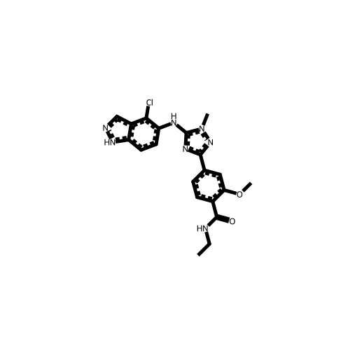 CCNC(=O)c1ccc(-c2nc(Nc3ccc4[nH]ncc4c3Cl)n(C)n2)cc1OC